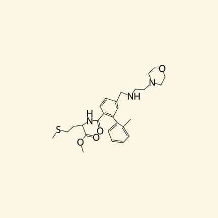 COC(=O)C(CCSC)NC(=O)c1ccc(CNCCN2CCOCC2)cc1-c1ccccc1C